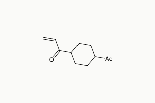 C=CC(=O)C1CCC(C(C)=O)CC1